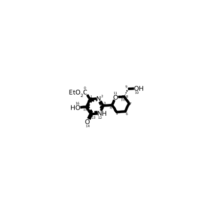 CCOC(=O)c1nc(C2CCC[C@@H](CO)O2)[nH]c(=O)c1O